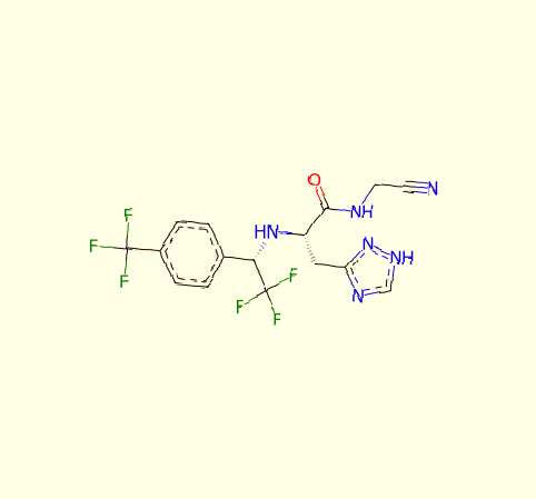 N#CCNC(=O)[C@H](Cc1nc[nH]n1)N[C@@H](c1ccc(C(F)(F)F)cc1)C(F)(F)F